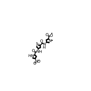 COC(=O)c1cc(NC(=O)c2cc(NC(=O)c3cc([N+](=O)[O-])c[nH]3)cn2C)cn1C